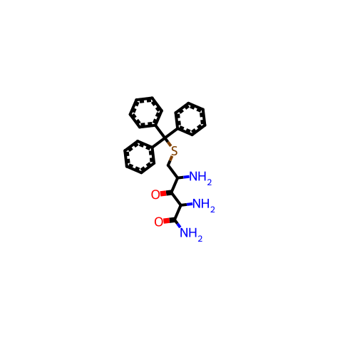 NC(=O)C(N)C(=O)C(N)CSC(c1ccccc1)(c1ccccc1)c1ccccc1